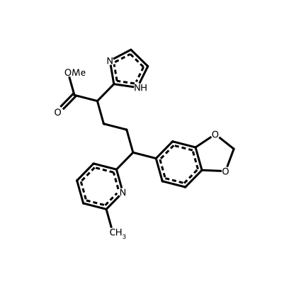 COC(=O)C(CCC(c1ccc2c(c1)OCO2)c1cccc(C)n1)c1ncc[nH]1